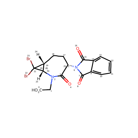 O=C(O)CN1C(=O)[C@@H](N2C(=O)c3ccccc3C2=O)CC[C@@H]2[C@H]1C2(Br)Br